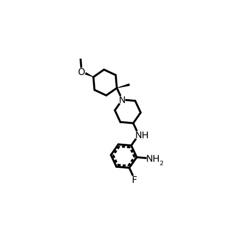 CO[C@H]1CC[C@](C)(N2CCC(Nc3cccc(F)c3N)CC2)CC1